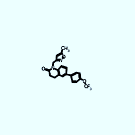 Cc1cc(CN2C(=O)CCc3cc(-c4ccc(OC(F)(F)F)cc4)ccc32)no1